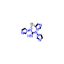 CN(C(=N)N(n1ccnc1)n1ccnc1)n1ccnc1